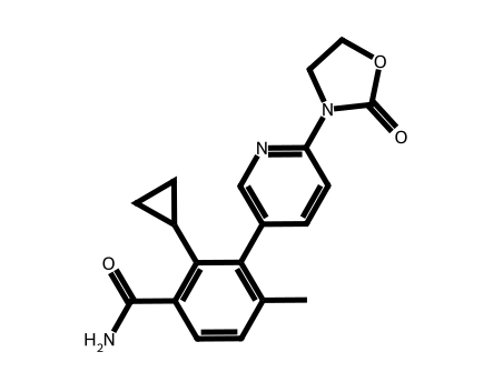 Cc1ccc(C(N)=O)c(C2CC2)c1-c1ccc(N2CCOC2=O)nc1